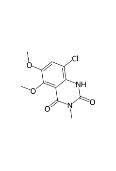 COc1cc(Cl)c2[nH]c(=O)n(C)c(=O)c2c1OC